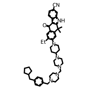 CCc1cc2c(cc1N1CCC(N3CCN(CN4CCN(Cc5ccc(CC6CCCC6)cc5)CC4)CC3)CC1)C(C)(C)c1[nH]c3cc(C#N)ccc3c1C2=O